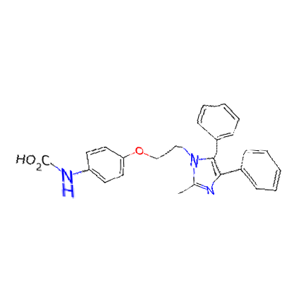 Cc1nc(-c2ccccc2)c(-c2ccccc2)n1CCOc1ccc(NC(=O)O)cc1